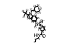 CCCNC(=O)c1ccn([S+]([O-])N(C)c2ccc3c(c2)nc(C(C)(C)C)n3CC2CCOCC2)n1